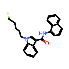 O=C(Nc1cccc2ccccc12)c1cn(CCCCCF)c2ccccc12